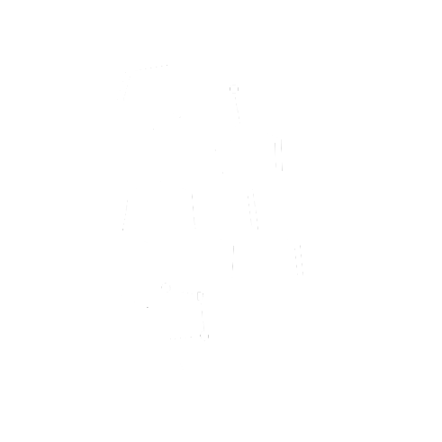 CC1(C)OB(c2cccc3c4ccc5oc6ccccc6c5c4c4ccccc4c23)OC1(C)C